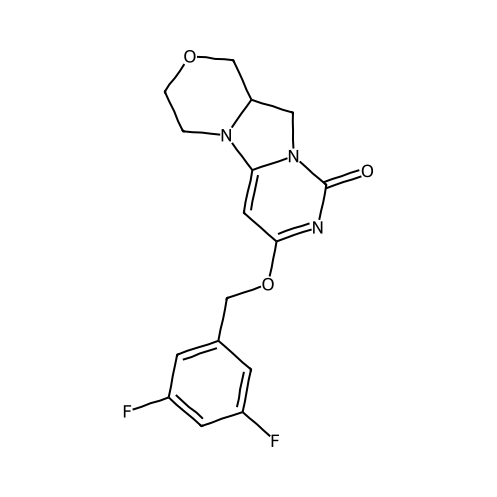 O=c1nc(OCc2cc(F)cc(F)c2)cc2n1CC1COCCN21